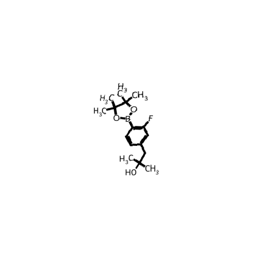 CC(C)(O)Cc1ccc(B2OC(C)(C)C(C)(C)O2)c(F)c1